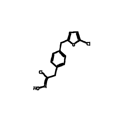 O/N=C(\Cl)Cc1ccc(Cc2ccc(Cl)o2)cc1